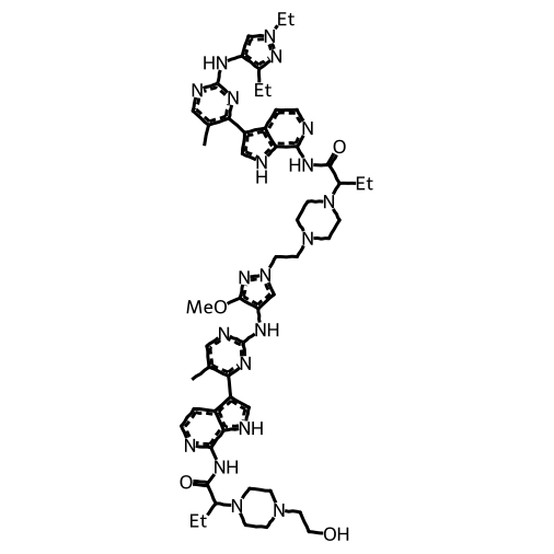 CCc1nn(CC)cc1Nc1ncc(C)c(-c2c[nH]c3c(NC(=O)C(CC)N4CCN(CCn5cc(Nc6ncc(C)c(-c7c[nH]c8c(NC(=O)C(CC)N9CCN(CCO)CC9)nccc78)n6)c(OC)n5)CC4)nccc23)n1